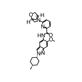 COc1cc2nn([C@H]3CC[C@H](C)CC3)cc2cc1NC(=O)c1cccc(N2C[C@@H]3C[C@H]2CO3)n1